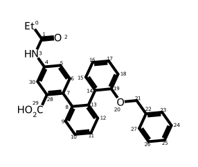 CCC(=O)Nc1ccc(-c2ccccc2-c2ccccc2OCc2ccccc2)c(C(=O)O)c1